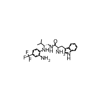 CC(C)[C@H](CNC(=O)[C@H](N)Cc1c[nH]c2ccccc12)Nc1ccc(C(F)(F)F)cc1N